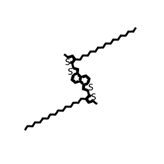 CCCCCCCCCCCCCCCCc1cc(C)sc1-c1cc2c(ccc3c4cc(-c5sc(C)cc5CCCCCCCCCCCCCCCC)sc4ccc23)s1